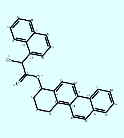 CCC(C(=O)OC1CCCc2c1ccc1c2ccc2ccccc21)c1cccc2ccccc12